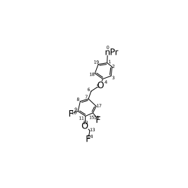 CCCc1ccc(OCc2cc(F)c(OCF)c(F)c2)cc1